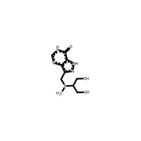 CN(Cc1n[nH]c2c(=O)[nH]cnc12)C(CO)CO